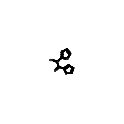 O=NN(C(=O)c1cccs1)c1ncco1